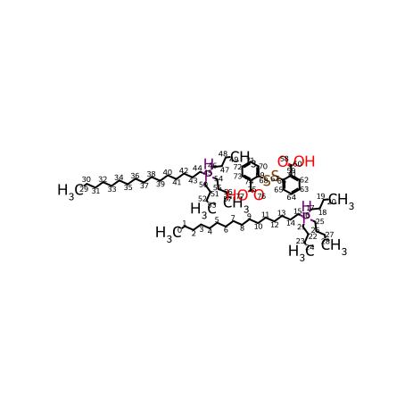 CCCCCCCCCCCCCCCC[PH](CCCC)(CCCC)CCCC.CCCCCCCCCCCCCCCC[PH](CCCC)(CCCC)CCCC.O=C(O)c1ccccc1SSc1ccccc1C(=O)O